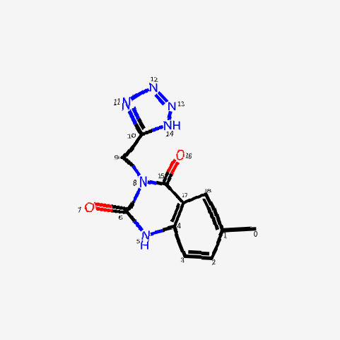 Cc1ccc2[nH]c(=O)n(Cc3nnn[nH]3)c(=O)c2c1